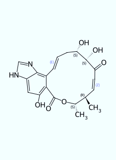 C[C@@H]1/C=C\C(=O)[C@@H](O)[C@@H](O)C/C=C/c2c(c(O)cc3[nH]cnc23)C(=O)O[C@H]1C